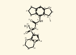 C[C@H]1COc2cc3c(c(NC(=O)N=S(N)(=O)c4cnn5c4OCCC5)c21)CCC3